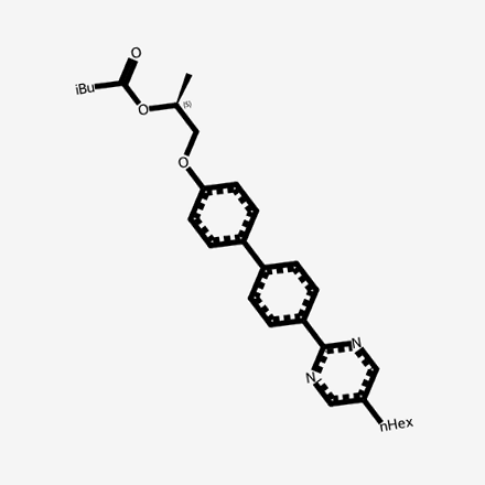 CCCCCCc1cnc(-c2ccc(-c3ccc(OC[C@H](C)OC(=O)C(C)CC)cc3)cc2)nc1